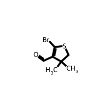 CC1(C)CSC(Br)=C1C=O